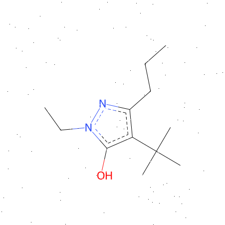 CCCc1nn(CC)c(O)c1C(C)(C)C